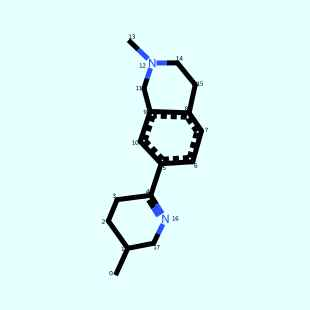 CC1CCC(c2ccc3c(c2)CN(C)CC3)=NC1